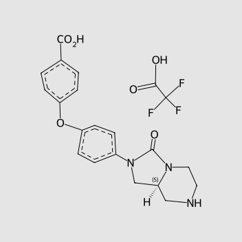 O=C(O)C(F)(F)F.O=C(O)c1ccc(Oc2ccc(N3C[C@@H]4CNCCN4C3=O)cc2)cc1